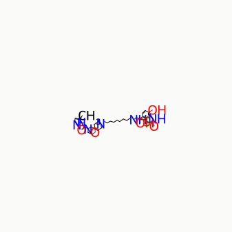 Cc1ccnn1CC(=O)N1CCOC2(CCN(CCCCCCCCCNCC(O)c3ccc(O)c4[nH]c(=O)sc34)CC2)C1